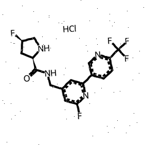 Cl.O=C(NCc1cc(F)nc(-c2ccc(C(F)(F)F)nc2)c1)[C@H]1C[C@@H](F)CN1